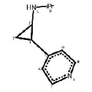 CC(C)NC1CC1c1ccncc1